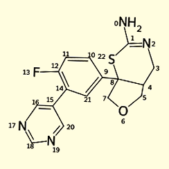 NC1=NCC2COCC2(c2ccc(F)c(-c3cncnc3)c2)S1